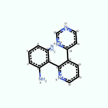 Nc1cccc(N)c1-c1ncccc1-c1ccncn1